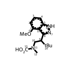 COc1cccc2[nH]nc(C(CN(C)C(=O)O)C(C)(C)C)c12